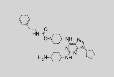 N[C@H]1CC[C@H](Nc2nc(NC3CCN(OC(=O)NCCc4ccccc4)CC3)c3ncn(C4CCCC4)c3n2)CC1